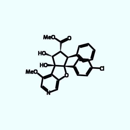 COC(=O)[C@H]1[C@@H](O)[C@@]2(O)c3c(OC)cncc3O[C@@]2(c2ccc(Cl)cc2)[C@@H]1c1ccccc1